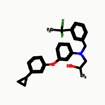 OC(CN(Cc1cccc(C(F)(F)C(F)(F)F)c1)c1cccc(Oc2cccc(C3CC3)c2)c1)C(F)(F)F